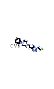 COc1ccccc1N1CCN(CCc2cn(CCF)nn2)CC1